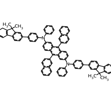 CC1(C)C2=C(C=CCC2)c2ccc(-c3ccc(N(c4ccccc4)c4ccc5c(-c6ccc7ccccc7c6)c6cc(N(c7ccccc7)c7ccc(-c8ccc9c(c8)C(C)(C)c8ccccc8-9)cc7)ccc6c(-c6ccc7ccccc7c6)c5c4)cc3)cc21